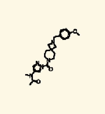 COc1ccc(CN2CC3(CCN(C(=O)n4cc(N(C)C(C)=O)cn4)CC3)C2)cc1